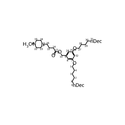 CCCCCCCCCCCCCCCOc1cc(COC(=O)CCCN2CCN(C)CC2)cc(OCCCCCCCCCCCCCC)c1